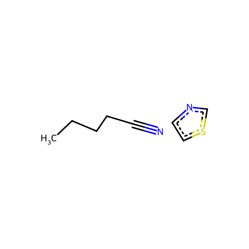 CCCCC#N.c1cscn1